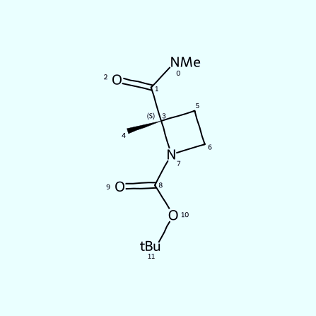 CNC(=O)[C@]1(C)CCN1C(=O)OC(C)(C)C